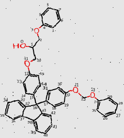 OC(COc1ccccc1)COc1ccc(C2(c3ccc(OCOc4ccccc4)cc3)c3ccccc3-c3ccccc32)cc1